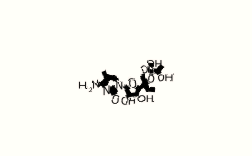 CCC(C)(OP(=O)(O)C(C)O)C1O[C@@H](n2cc(C)c(N)nc2=O)[C@H](O)[C@@H]1O